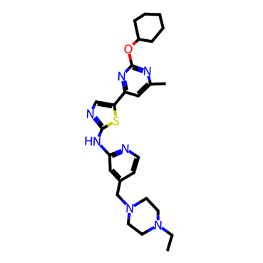 CCN1CCN(Cc2ccnc(Nc3ncc(-c4cc(C)nc(OC5CCCCC5)n4)s3)c2)CC1